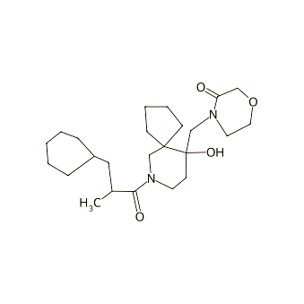 CC(CC1CCCCC1)C(=O)N1CCC(O)(CN2CCOCC2=O)C2(CCCC2)C1